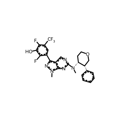 CN(c1ncc2c(-c3cc(C(F)(F)F)c(F)c(O)c3F)nn(C)c2n1)[C@@H]1CCOC[C@@H]1c1ccccc1